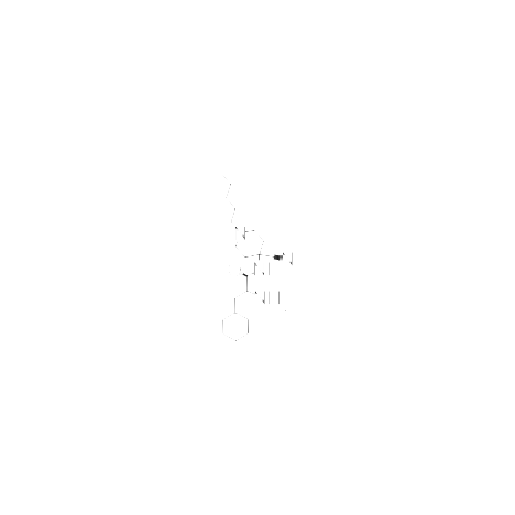 CCCCCN1CCC(C#N)(NC(=O)C(N)CC2CCCCC2)CC1